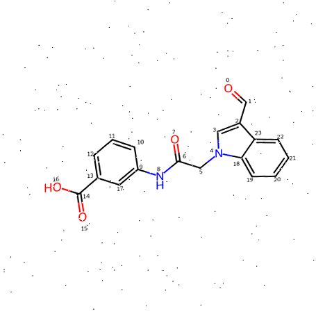 O=Cc1cn(CC(=O)Nc2cccc(C(=O)O)c2)c2ccccc12